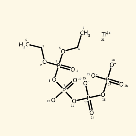 CCOP(=O)(OCC)OP(=O)([O-])OP(=O)([O-])OP(=O)([O-])[O-].[Ti+4]